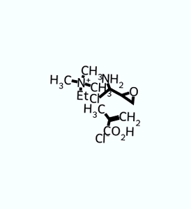 C=C(C)C(=O)O.CC[N+](C)(C)C.NC(Cl)C1CO1.[Cl-]